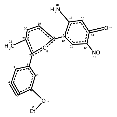 CCOc1c#ccc(-c2cc(-n3cc(N=O)c(=O)cc3N)ccc2C)c1